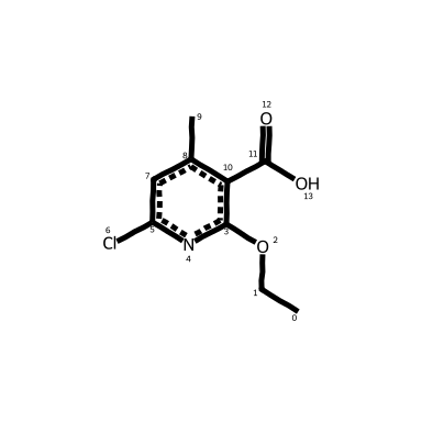 CCOc1nc(Cl)cc(C)c1C(=O)O